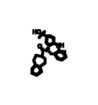 CC(C)(O)c1ccc2c(c1)N(C(=O)C1CCc3ccccc3CC1)Cc1cccnc1N2